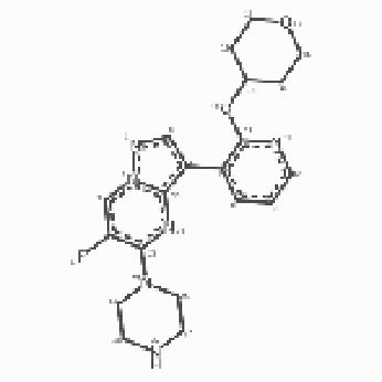 Fc1cn2ncc(-c3cccnc3OC3CCOCC3)c2nc1N1CCNCC1